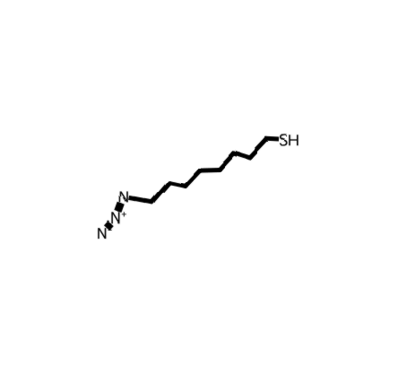 [N-]=[N+]=NCCCCCCCCS